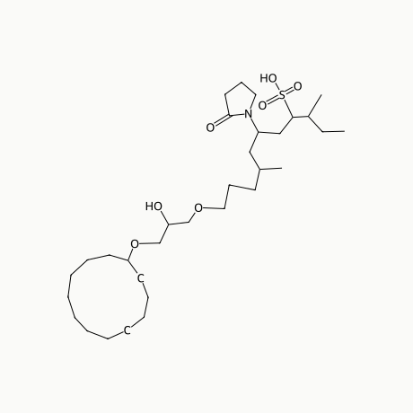 CCC(C)C(CC(CC(C)CCCOCC(O)COC1CCCCCCCCCCC1)N1CCCC1=O)S(=O)(=O)O